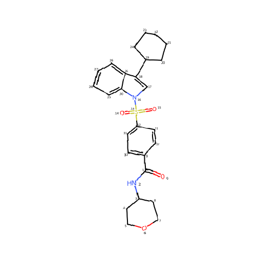 O=C(NC1CCOCC1)c1ccc(S(=O)(=O)n2cc(C3CCCCC3)c3ccccc32)cc1